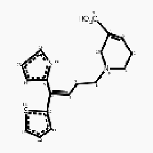 O=C(O)C1=CCCN(CCC=C(c2cccs2)c2cccs2)C1